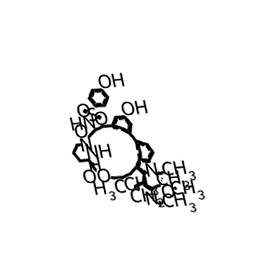 C=C/C(=C(\N=C/C)[C@H](C)OC)c1c2c3cc(ccc3n1CC)-c1cc(O)cc(c1)C[C@H](NS(=O)(=O)c1ccc(O)cc1)C(=O)N1CCC[C@H](N1)C(=O)OCC(C)(C)C2